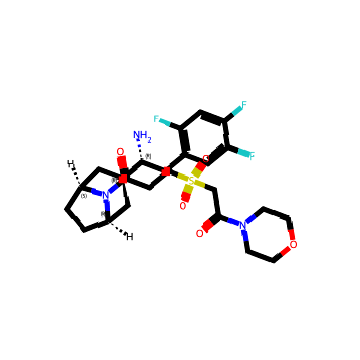 N[C@H](Cc1cc(F)c(F)cc1F)[C@H]1C[C@H]2CC[C@@H](C1)N2C(=O)CCS(=O)(=O)CC(=O)N1CCOCC1